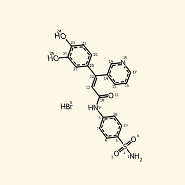 Br.NS(=O)(=O)c1ccc(NC(=O)/C=C(\c2cccnc2)c2ccc(O)c(O)c2)cc1